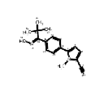 Cn1c(C#N)ccc1-c1ccc(C(=NO)C(C)(C)C)cc1